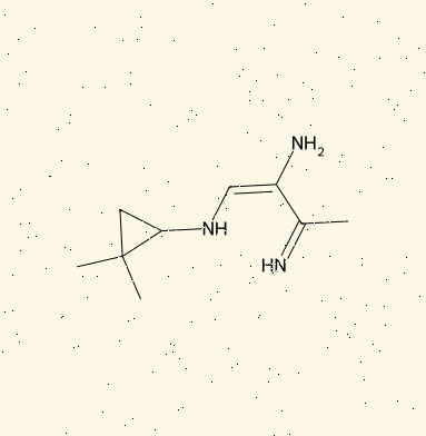 CC(=N)/C(N)=C\NC1CC1(C)C